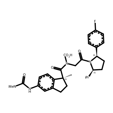 CNC(=O)Nc1ccc2c(c1)CC[C@]2(C)C(=O)N(CC(=O)N1[C@@H](c2ccc(F)cc2)CC[C@H]1C(C)C)C(=O)O